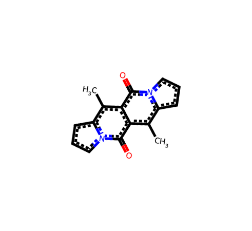 Cc1c2c(=O)n3cccc3c(C)c2c(=O)n2cccc12